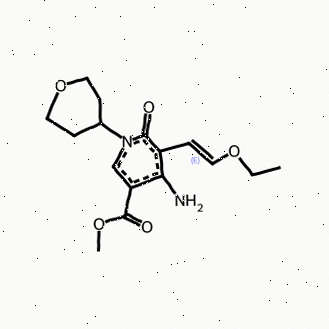 CCO/C=C/c1c(N)c(C(=O)OC)cn(C2CCOCC2)c1=O